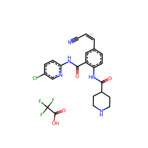 N#C/C=C\c1ccc(NC(=O)C2CCNCC2)c(C(=O)Nc2ccc(Cl)cn2)c1.O=C(O)C(F)(F)F